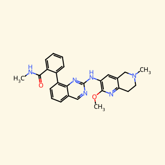 CNC(=O)c1ccccc1-c1cccc2cnc(Nc3cc4c(nc3OC)CCN(C)C4)nc12